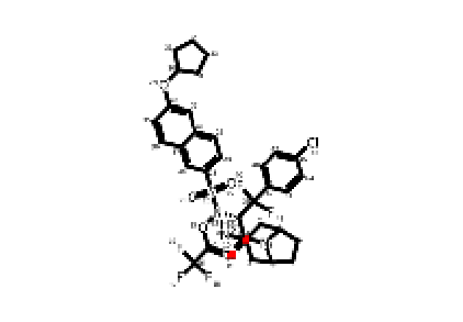 NC1CC2CCC(C1)N2C(=O)[C@H](N(OC(=O)C(F)(F)F)S(=O)(=O)c1ccc2cc(OC3CCCC3)ccc2c1)C(F)(F)c1ccc(Cl)cc1